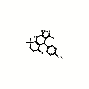 Cc1n[nH]c2c1C(c1ccc([N+](=O)[O-])cc1)C1=C(N2)C(C)(C)CCC1=O